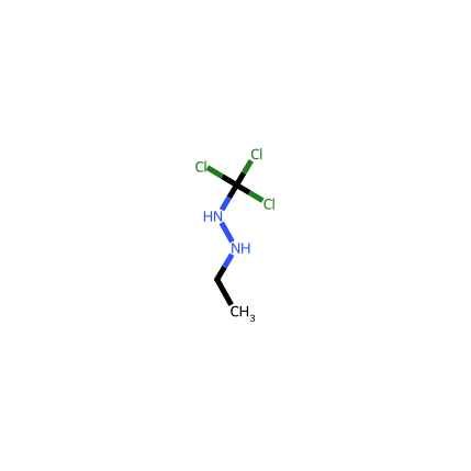 CCNNC(Cl)(Cl)Cl